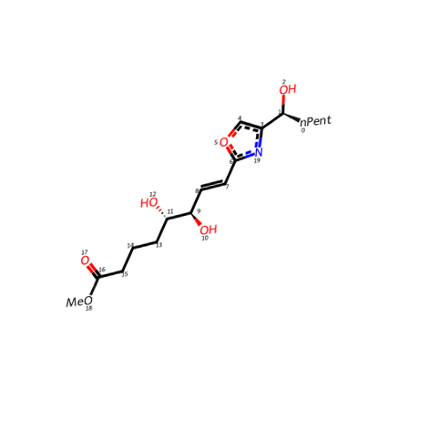 CCCCC[C@H](O)c1coc(/C=C/[C@@H](O)[C@@H](O)CCCC(=O)OC)n1